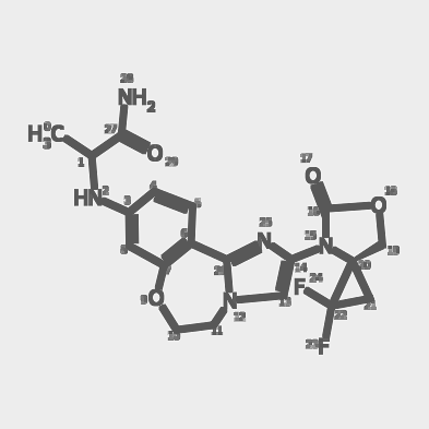 CC(Nc1ccc2c(c1)OCCn1cc(N3C(=O)OC[C@]34CC4(F)F)nc1-2)C(N)=O